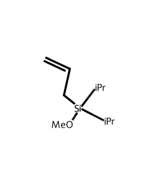 C=CC[Si](OC)(C(C)C)C(C)C